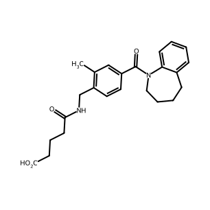 Cc1cc(C(=O)N2CCCCc3ccccc32)ccc1CNC(=O)CCCC(=O)O